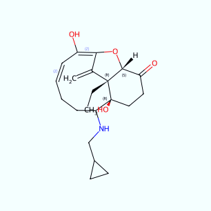 C=C1/C2=C(O)\C=C/CCC(NCC3CC3)[C@@]3(O)CCC(=O)[C@@H](O2)[C@@]13CC